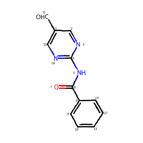 O=Cc1cnc(NC(=O)c2ccccc2)nc1